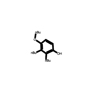 CCCCOc1ccc(O)c(CCCC)c1CCCC